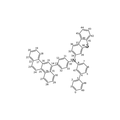 c1ccc(-c2cccc(N(c3ccc(-c4cc5c6ccccc6ccc5c5ccccc45)cc3)c3ccc4c(c3)sc3ccccc34)c2)cc1